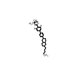 CCCCCC1CCC2CC(c3ccc(-c4cc(F)c(C5=NC(C)(C)CO5)c(F)c4)cc3)CCC2C1